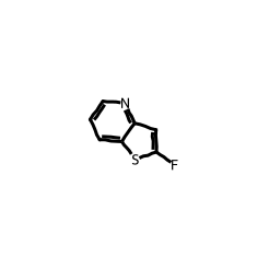 Fc1cc2ncccc2s1